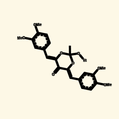 CCOC1(C)O/C(=C\c2ccc(OC)c(OC)c2)C(=O)/C(=C/c2ccc(OC)c(OC)c2)O1